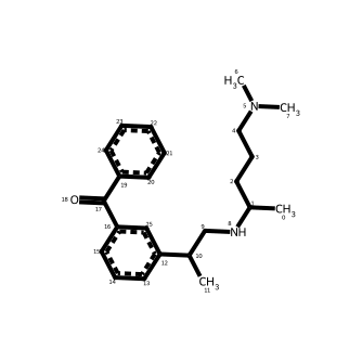 CC(CCCN(C)C)NCC(C)c1cccc(C(=O)c2ccccc2)c1